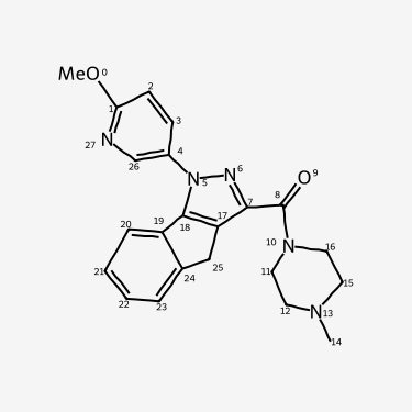 COc1ccc(-n2nc(C(=O)N3CCN(C)CC3)c3c2-c2ccccc2C3)cn1